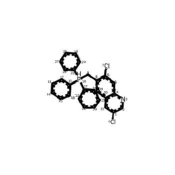 Clc1cnc2cc(Cl)c(C[PH](c3ccccc3)(c3ccccc3)c3ccccc3)cc2c1